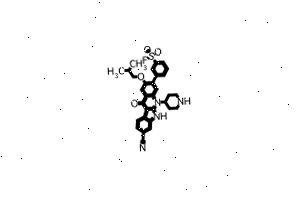 CC(C)COc1cc2c(=O)c3c4ccc(C#N)cc4[nH]c3n(C3CCNCC3)c2cc1-c1cccc(S(=O)(=O)F)c1